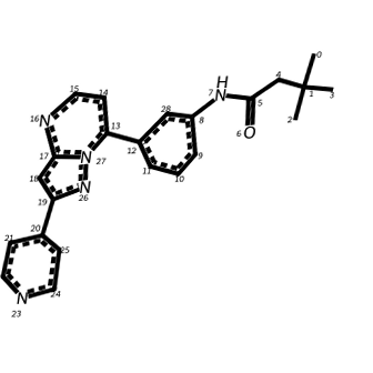 CC(C)(C)CC(=O)Nc1cccc(-c2ccnc3cc(-c4ccncc4)nn23)c1